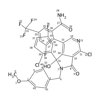 COc1ccc(CN2C(=O)c3c(Cl)ncc(-c4c(F)cc(C(F)(F)F)cc4C(N)=O)c3C2(O)c2cc(F)ccc2Cl)cc1